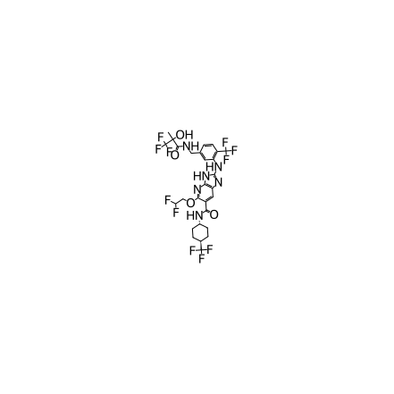 CC(O)(C(=O)NCc1ccc(C(F)(F)F)c(Nc2nc3cc(C(=O)N[C@H]4CC[C@H](C(F)(F)F)CC4)c(OCC(F)F)nc3[nH]2)c1)C(F)(F)F